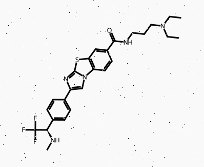 CCN(CC)CCCNC(=O)c1ccc2c(c1)sc1nc(-c3ccc([C@@H](NC)C(F)(F)F)cc3)cn12